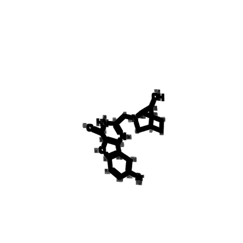 O=c1[nH]c(CN2CC3CCC34C(O)C24)nc2c1oc1ccc(Br)cc12